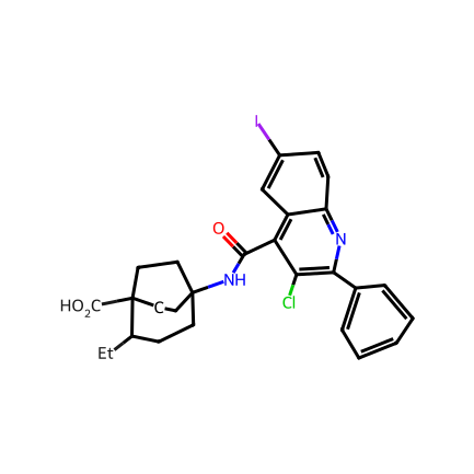 CCC1CCC2(NC(=O)c3c(Cl)c(-c4ccccc4)nc4ccc(I)cc34)CCC1(C(=O)O)CC2